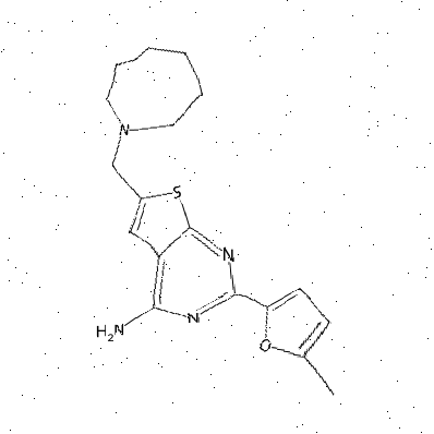 Cc1ccc(-c2nc(N)c3cc(CN4CCCCCC4)sc3n2)o1